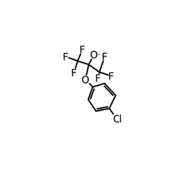 [O]C(Oc1ccc(Cl)cc1)(C(F)(F)F)C(F)(F)F